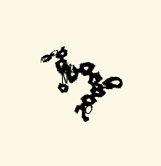 C=Cc1c(/C=C\C)oc2cc(-c3ccc4c(c3)c3cc(-c5cccc(C(/C=C\c6cc7cc(-c8ccc(C)c(Oc9ccncc9)c8)ccc7n6C6=CCCC=C6)=C/CC)c5)ccc3n4C3(C)CC#CC/C=C\C3)ccc12